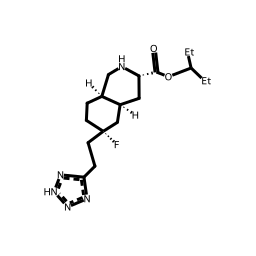 CCC(CC)OC(=O)[C@@H]1C[C@H]2C[C@@](F)(CCc3nn[nH]n3)CC[C@H]2CN1